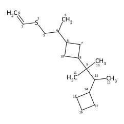 C=CSCC(C)C1CC(C(C)(C)C(C)C2CCC2)C1